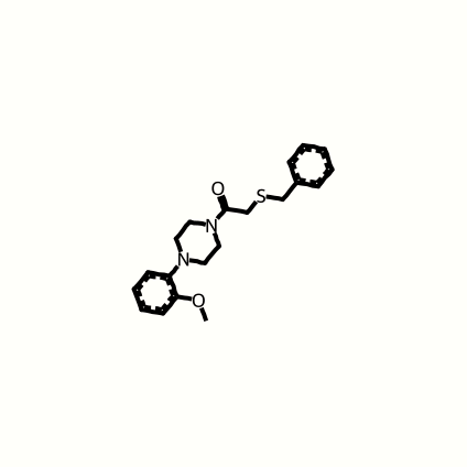 COc1ccccc1N1CCN(C(=O)CSCc2ccccc2)CC1